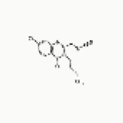 CCCCn1c(CSC#N)nc2cc(Cl)ccc2c1=O